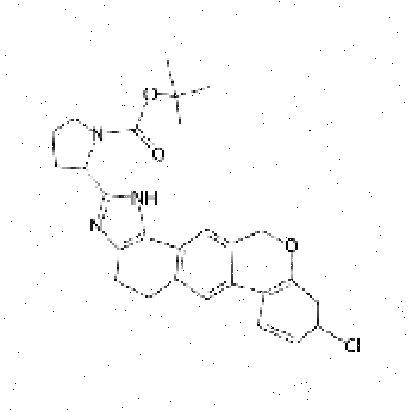 CC(C)(C)OC(=O)N1CCC[C@H]1c1nc2c([nH]1)-c1cc3c(cc1CC2)-c1ccc(Cl)cc1OC3